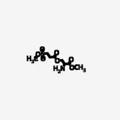 COC(=O)C(N)COC(=O)CCS(=O)(=O)OC